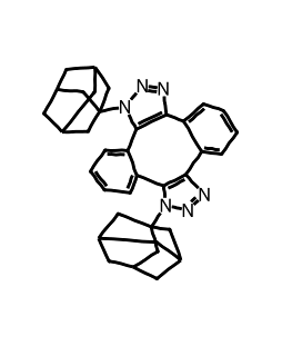 c1ccc2c(c1)-c1nnn(C34CC5CC(CC(C5)C3)C4)c1-c1ccccc1-c1c-2nnn1C12CC3CC(CC(C3)C1)C2